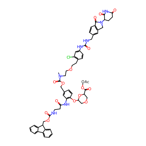 CC(=O)OOC(=O)C1COCC(Oc2ccc(COC(=O)N(C)CCOCCc3ccc(NC(=O)NCc4ccc5c(c4)CN(C4CCC(=O)NC4=O)C5=O)cc3Cl)cc2NC(=O)CCNC(=O)OCC2c3ccccc3-c3ccccc32)O1